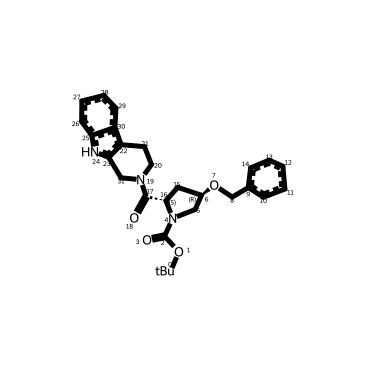 CC(C)(C)OC(=O)N1C[C@H](OCc2ccccc2)C[C@H]1C(=O)N1CCc2c([nH]c3ccccc23)C1